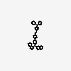 C(=C\c1ccc(N(c2ccccc2)c2ccccc2)cc1)/c1ccc(-c2ccc(N(c3ccc4ccccc4c3)c3cccc4ccccc34)cc2)cc1